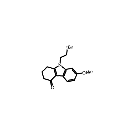 COc1ccc2c3c(n(CCC(C)(C)C)c2c1)CCCC3=O